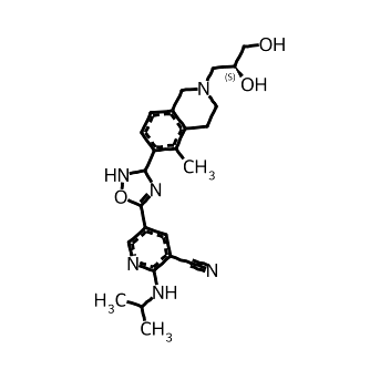 Cc1c(C2N=C(c3cnc(NC(C)C)c(C#N)c3)ON2)ccc2c1CCN(C[C@H](O)CO)C2